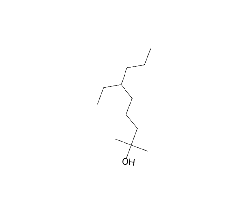 CCCC(CC)CCCC(C)(C)O